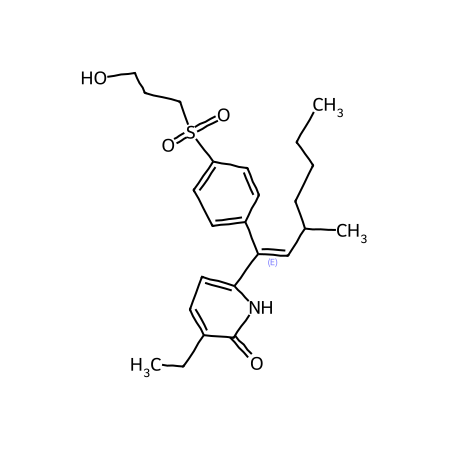 CCCCC(C)/C=C(\c1ccc(S(=O)(=O)CCCO)cc1)c1ccc(CC)c(=O)[nH]1